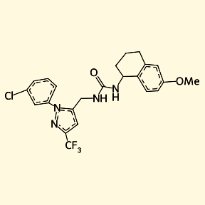 COc1ccc2c(c1)CCCC2NC(=O)NCc1cc(C(F)(F)F)nn1-c1cccc(Cl)c1